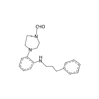 O=CN1CCN(c2ccccc2NCCCc2ccccc2)CC1